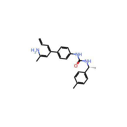 C=C/C=C(\C=C(\C)N)c1ccc(NC(=O)N[C@H](C)c2ccc(C)cc2)cc1